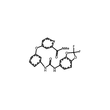 CNC(=O)c1cc(Oc2cccc(NC(=O)Nc3ccc4c(c3)OC(F)(F)O4)c2)ccn1